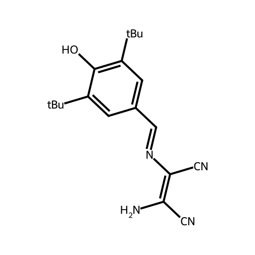 CC(C)(C)c1cc(/C=N/C(C#N)=C(\N)C#N)cc(C(C)(C)C)c1O